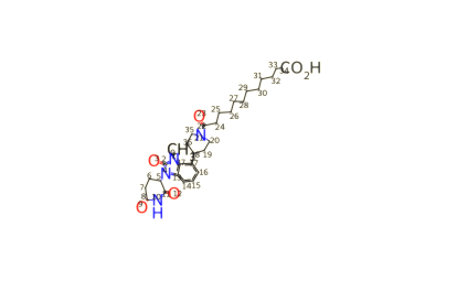 Cn1c(=O)n(C2CCC(=O)NC2=O)c2cccc(C3CCN(C(=O)CCCCCCCCCCC(=O)O)CC3)c21